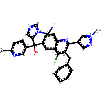 Cn1cc(-c2nc3ccc(C(O)(c4ccc(C(F)(F)F)nc4)c4cncn4CI)cc3c(Cl)c2Cc2ccccc2)cn1